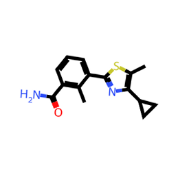 Cc1sc(-c2cccc(C(N)=O)c2C)nc1C1CC1